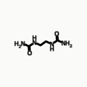 NC(=O)NCCNC(N)=O